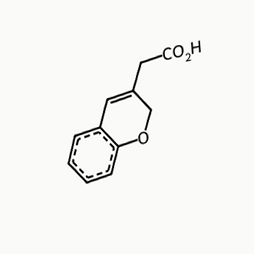 O=C(O)CC1=Cc2ccccc2OC1